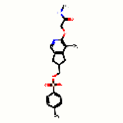 CNC(=O)COc1ncc2c(c1C)CC(COS(=O)(=O)c1ccc(C)cc1)C2